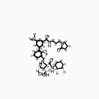 COc1c(CN2O[C@@H](CO)[C@@H]([C@H](C)O)[C@H]2C(=O)N[C@H]2CCC[C@H](C)[C@@H]2C)cccc1-c1cc(C(=O)NCCCN2CCCC2=O)cc(N(C)C)c1